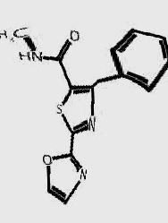 CNC(=O)c1sc(-c2ncco2)nc1-c1ccccc1